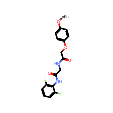 CCCCOc1ccc(OCC(=O)NCC(=O)Nc2c(F)cccc2F)cc1